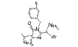 Cc1nsc2nc(C(N)C(C)C)n(Cc3cccc(F)c3)c(=O)c12